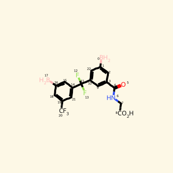 Bc1cc(C(=O)NCC(=O)O)cc(C(F)(F)c2cc(B)cc(C(F)(F)F)c2)c1